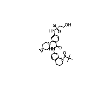 CC(C)(C)C(=O)N1CCCc2ccc(NC(=O)c3ccc(NS(=O)(=O)CCO)cc3N3CCC4(CC3)CC4)cc21